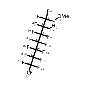 CO[SiH2]C(F)(F)C(F)(F)C(F)(F)C(F)(F)C(F)(F)C(F)(F)C(F)(F)C(F)(F)F